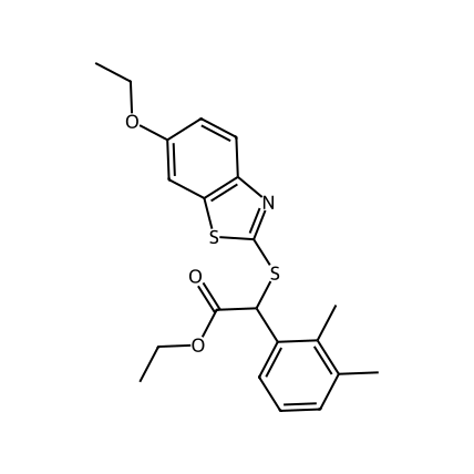 CCOC(=O)C(Sc1nc2ccc(OCC)cc2s1)c1cccc(C)c1C